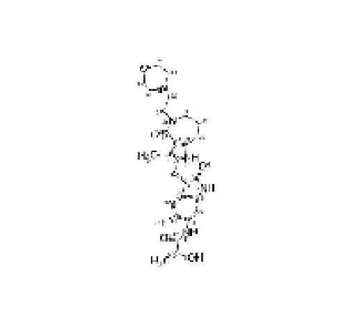 Cc1c(C=C2C(=O)Nc3cc(NC(=O)C(C)O)c(F)cc32)[nH]c2c1C(=O)N(CCN1CCOCC1)CCC2